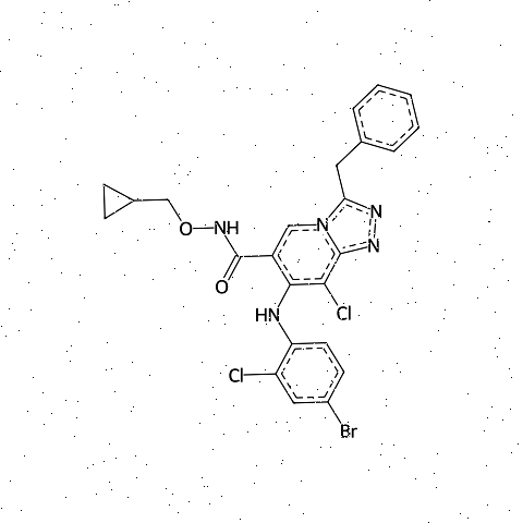 O=C(NOCC1CC1)c1cn2c(Cc3ccccc3)nnc2c(Cl)c1Nc1ccc(Br)cc1Cl